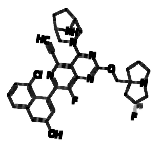 C#Cc1nc(-c2cc(O)cc3cccc(Cl)c23)c(F)c2nc(OCC34CCCN3C[C@H](F)C4)nc(N3CC4CCC(C3)N4)c12